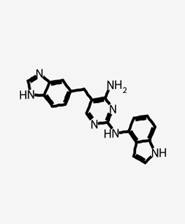 Nc1nc(Nc2cccc3[nH]ccc23)ncc1Cc1ccc2[nH]cnc2c1